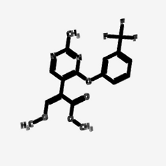 CO/C=C(\C(=O)OC)c1cnc(C)nc1Oc1cccc(C(F)(F)F)c1